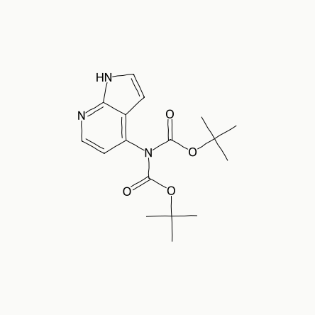 CC(C)(C)OC(=O)N(C(=O)OC(C)(C)C)c1ccnc2[nH]ccc12